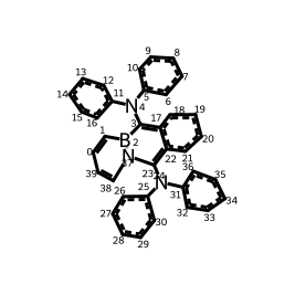 C1=CB2C(N(c3ccccc3)c3ccccc3)=c3ccccc3=C(N(c3ccccc3)c3ccccc3)N2C=C1